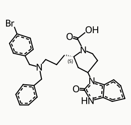 O=C(O)N1CCC(n2c(=O)[nH]c3ccccc32)C[C@@H]1CCCN(Cc1ccccc1)Cc1ccc(Br)cc1